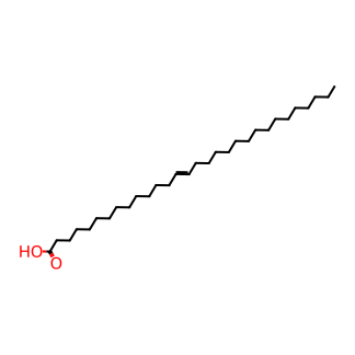 CCCCCCCCCCCCCCCC=CCCCCCCCCCCCCC(=O)O